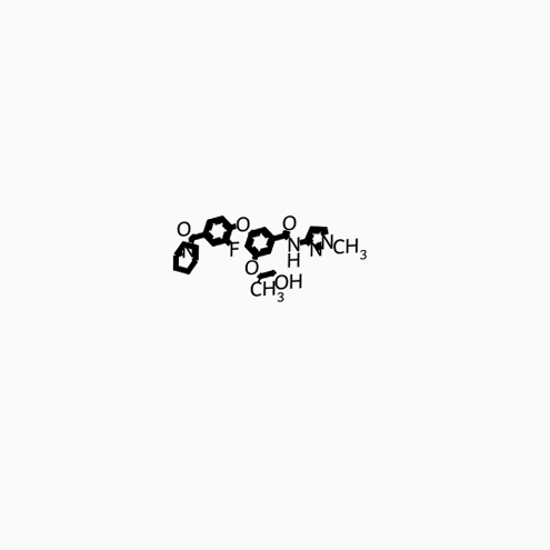 C[C@@H](CO)Oc1cc(Oc2ccc(C(=O)N3C4CCC3CC4)cc2F)cc(C(=O)Nc2ccn(C)n2)c1